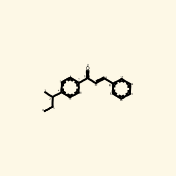 CCC(C)c1ccc(C(=O)C=Cc2ccccc2)cc1